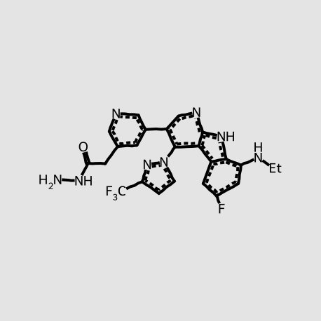 CCNc1cc(F)cc2c1[nH]c1ncc(-c3cncc(CC(=O)NN)c3)c(-n3ccc(C(F)(F)F)n3)c12